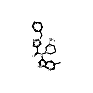 Cc1cnc2[nH]cc(N(C(=O)c3cnn(Cc4ccccc4)c3)N3CCC[C@@H](N)C3)c2c1